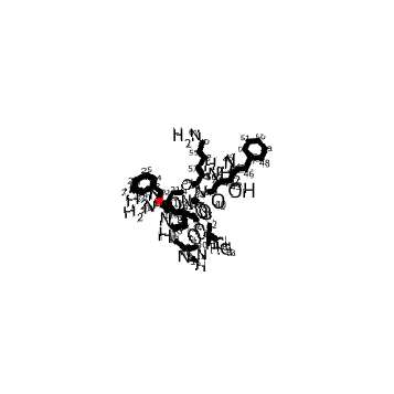 CC(C)(C)OC(=O)C1(C(=O)[C@H](Cc2c[nH]cn2)NC(=O)[C@@H](N)Cc2ccccc2)C[C@@H](CN)CCN1C(=O)N(C(=O)C[C@H](O)C(N)CC1CCCCC1)C(=O)[C@@H](N)CCCCN.Cl.Cl